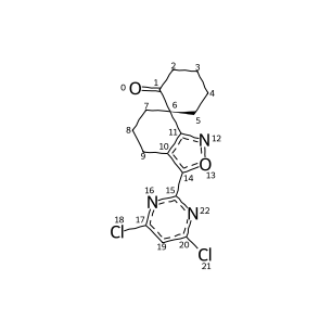 O=C1CCCC[C@@]12CCCc1c2noc1-c1nc(Cl)cc(Cl)n1